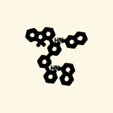 CC1(C)c2ccccc2-c2cccc(-c3cc(-c4cccc(-c5ccccc5Nc5cccc6ccccc56)c4)ccc3Nc3ccc4ccccc4c3)c21